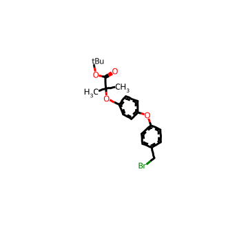 CC(C)(C)OC(=O)C(C)(C)Oc1ccc(Oc2ccc(CBr)cc2)cc1